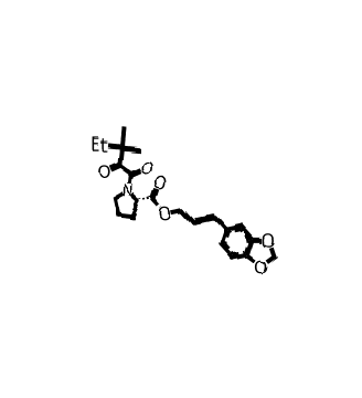 CCC(C)(C)C(=O)C(=O)N1CCC[C@H]1C(=O)OC/C=C/c1ccc2c(c1)OCO2